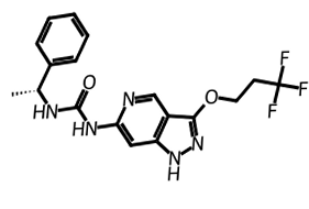 C[C@@H](NC(=O)Nc1cc2[nH]nc(OCCC(F)(F)F)c2cn1)c1ccccc1